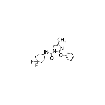 Cc1cn(C(=O)NC2CCC(F)(F)CC2)c(Oc2ccccc2)n1